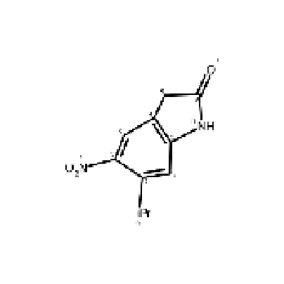 CC(C)c1cc2c(cc1[N+](=O)[O-])CC(=O)N2